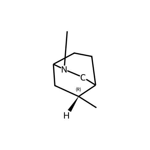 C[C@@H]1CC2CCC1CN2C